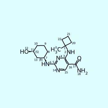 CC1(Nc2nc(N[C@@H]3CCC[C@H](O)C3)ncc2C(N)=O)CCC1